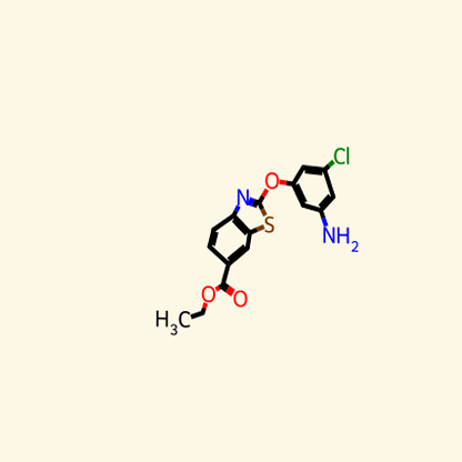 CCOC(=O)c1ccc2nc(Oc3cc(N)cc(Cl)c3)sc2c1